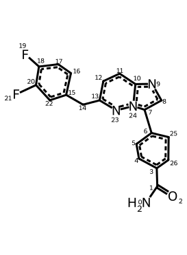 NC(=O)c1ccc(-c2cnc3ccc(Cc4ccc(F)c(F)c4)nn23)cc1